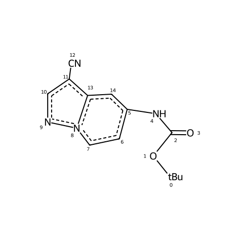 CC(C)(C)OC(=O)Nc1ccn2ncc(C#N)c2c1